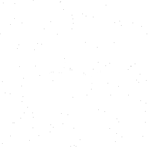 CC(S)N1CCN(C(=O)OC(C)(C)C)CC1